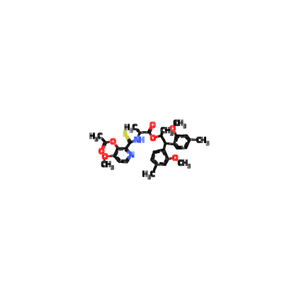 COc1cc(C)ccc1C(c1ccc(C)cc1OC)[C@H](C)OC(=O)[C@H](C)NC(=S)c1nccc(OC)c1OC(C)=O